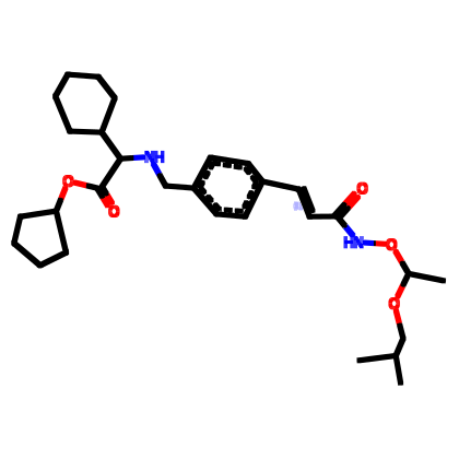 CC(C)COC(C)ONC(=O)/C=C/c1ccc(CNC(C(=O)OC2CCCC2)C2CCCCC2)cc1